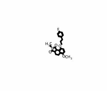 CCN1C(=O)C2CCc3c(OC)ccc(OCCCc4ccc(F)cc4)c3C2C1=O